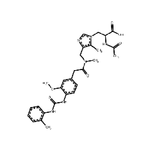 COc1cc(CC(=O)N(C)Cc2ncn(CC(NC(C)=O)C(=O)O)c2C)ccc1NC(=O)Nc1ccccc1C